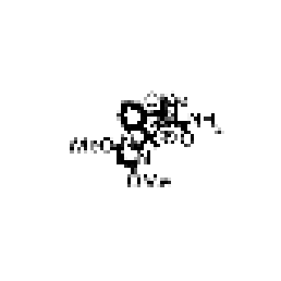 COC(=O)c1ccccc1C(C)(c1nc(OC)cc(OC)n1)S(=O)(=O)NC(N)=O